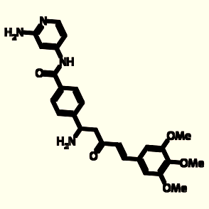 COc1cc(/C=C/C(=O)CC(N)c2ccc(C(=O)Nc3ccnc(N)c3)cc2)cc(OC)c1OC